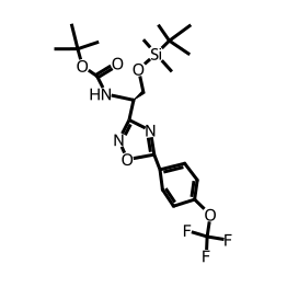 CC(C)(C)OC(=O)N[C@@H](CO[Si](C)(C)C(C)(C)C)c1noc(-c2ccc(OC(F)(F)F)cc2)n1